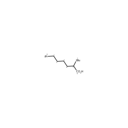 CC(C)CCCCC(C(=O)O)C(C)(C)C